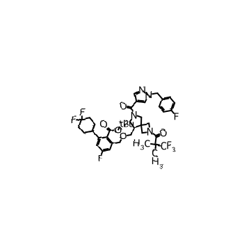 CC(C)(C)OC(=O)c1c(COCC2CN(C(=O)c3cnn(Cc4ccc(F)cc4)c3)CC23CN(C(=O)C(C)(C)C(F)(F)F)C3)cc(F)cc1C1CCC(F)(F)CC1